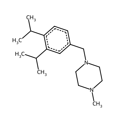 CC(C)c1ccc(CN2CCN(C)CC2)cc1C(C)C